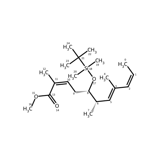 C/C=C\C(C)=C\[C@H](C)[C@H](C/C=C(/C)C(=O)OC)O[Si](C)(C)C(C)(C)C